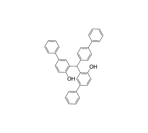 Oc1ccc(-c2ccccc2)cc1C(c1ccc(-c2ccccc2)cc1)c1cc(-c2ccccc2)ccc1O